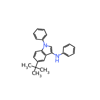 CC(C)(C)c1ccc2c(c1)c(Nc1ccccc1)cn2-c1ccccc1